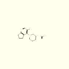 NC(=O)O[C@H]1CCCN(c2c([N+](=O)[O-])cnc3c2CCC3)C1